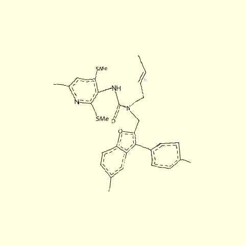 C/C=C/CN(Cc1oc2ccc(C)cc2c1-c1ccc(C)cc1)C(=O)Nc1c(SC)cc(C)nc1SC